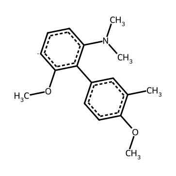 COc1[c]ccc(N(C)C)c1-c1ccc(OC)c(C)c1